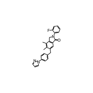 Cc1c(Cc2ccc(-n3cccn3)cc2)cc2c(c1C)CN(c1ccccc1F)C2=O